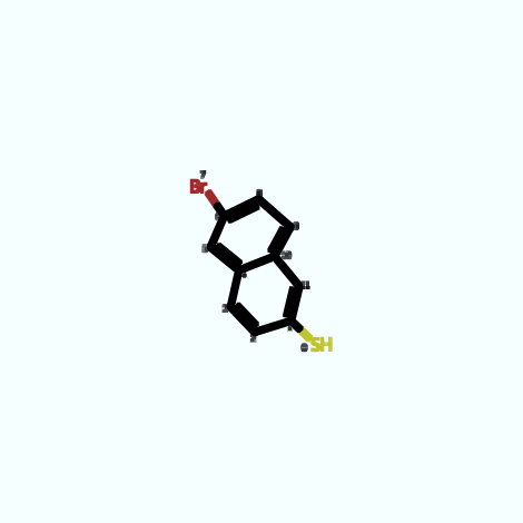 Sc1ccc2cc(Br)ccc2c1